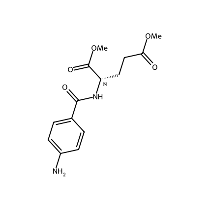 COC(=O)CC[C@H](NC(=O)c1ccc(N)cc1)C(=O)OC